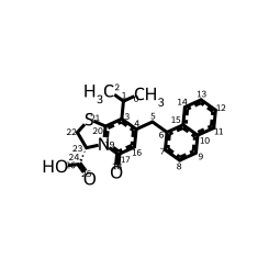 CC(C)c1c(Cc2cccc3ccccc23)cc(=O)n2c1SC[C@H]2C(=O)O